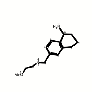 COCCNCc1ccc2c(c1)CCCC2N